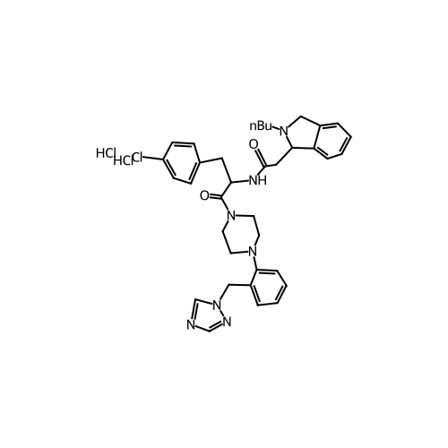 CCCCN1Cc2ccccc2C1CC(=O)NC(Cc1ccc(Cl)cc1)C(=O)N1CCN(c2ccccc2Cn2cncn2)CC1.Cl.Cl